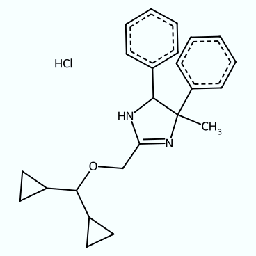 CC1(c2ccccc2)N=C(COC(C2CC2)C2CC2)NC1c1ccccc1.Cl